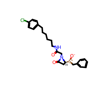 O=C(CN1C(=O)C[C@@H]1[S+]([O-])Cc1ccccc1)NCCCCCCc1ccc(Cl)cc1